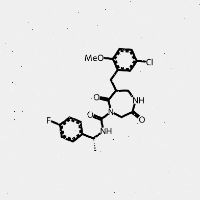 COc1ccc(Cl)cc1CC1CNC(=O)CN(C(=O)N[C@H](C)c2ccc(F)cc2)C1=O